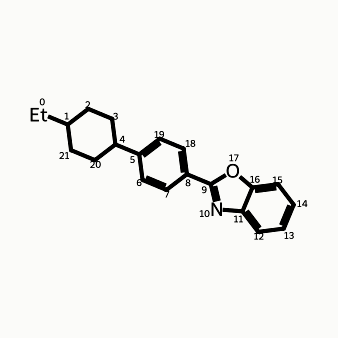 CCC1CCC(c2ccc(-c3nc4ccccc4o3)cc2)CC1